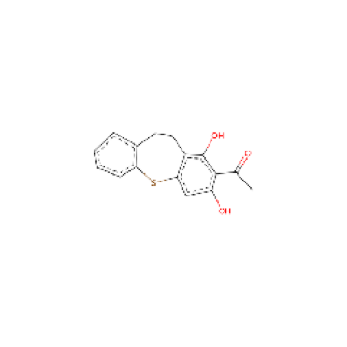 CC(=O)c1c(O)cc2c(c1O)CCc1ccccc1S2